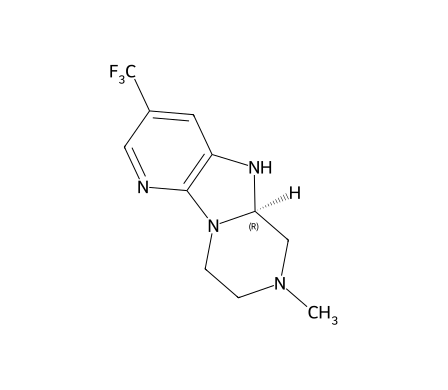 CN1CCN2c3ncc(C(F)(F)F)cc3N[C@H]2C1